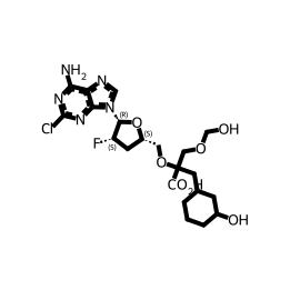 Nc1nc(Cl)nc2c1ncn2[C@@H]1O[C@H](COC(COCO)(CC2CCCC(O)C2)C(=O)O)C[C@@H]1F